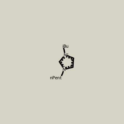 CCCCCn1cc[n+](C(C)CC)c1